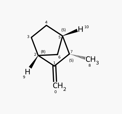 C=C1[C@@H]2CC[C@@H](C2)[C@@H]1C